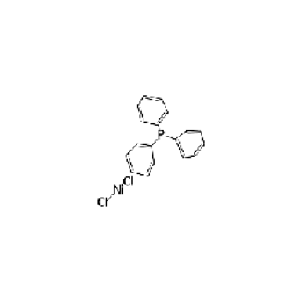 [Cl][Ni][Cl].c1ccc(P(c2ccccc2)c2ccccc2)cc1